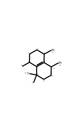 CC1CCC(C(C)C)C2=C1C(C)(F)CCC2C(C)C